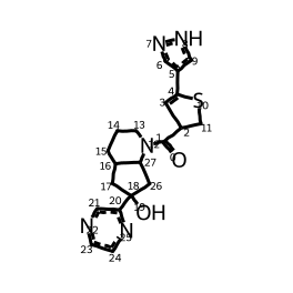 O=C(C1C=C(c2cn[nH]c2)SC1)N1CCCC2CC(O)(c3cnccn3)CC21